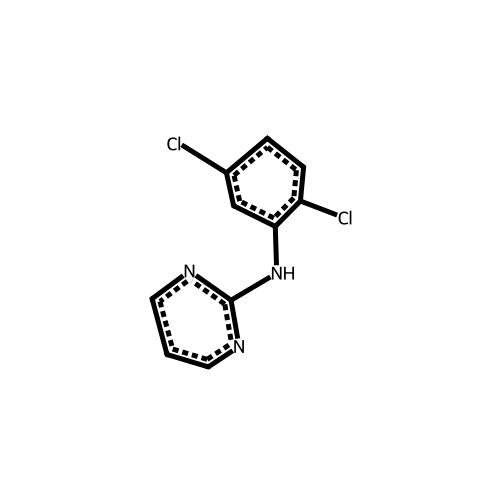 Clc1ccc(Cl)c(Nc2ncccn2)c1